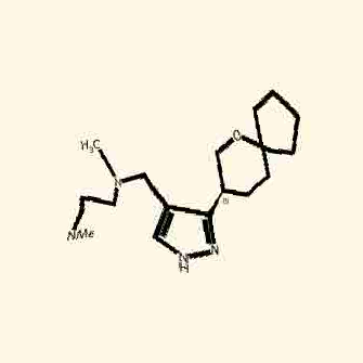 CNCCN(C)Cc1c[nH]nc1[C@@H]1CCC2(CCCC2)OC1